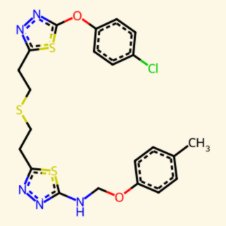 Cc1ccc(OCNc2nnc(CCSCCc3nnc(Oc4ccc(Cl)cc4)s3)s2)cc1